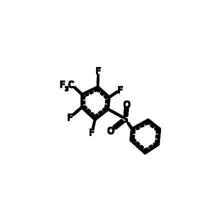 O=S(=O)(c1ccccc1)c1c(F)c(F)c(C(F)(F)F)c(F)c1F